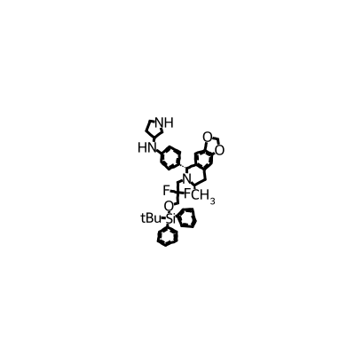 C[C@@H]1Cc2cc3c(cc2[C@@H](c2ccc(NC4CCNC4)cc2)N1CC(F)(F)CO[Si](c1ccccc1)(c1ccccc1)C(C)(C)C)OCO3